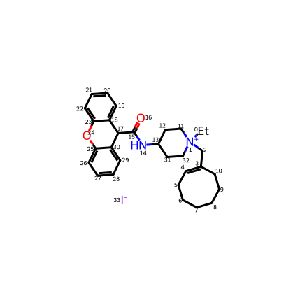 CC[N+]1(CC2=CCCCCCC2)CCC(NC(=O)C2c3ccccc3Oc3ccccc32)CC1.[I-]